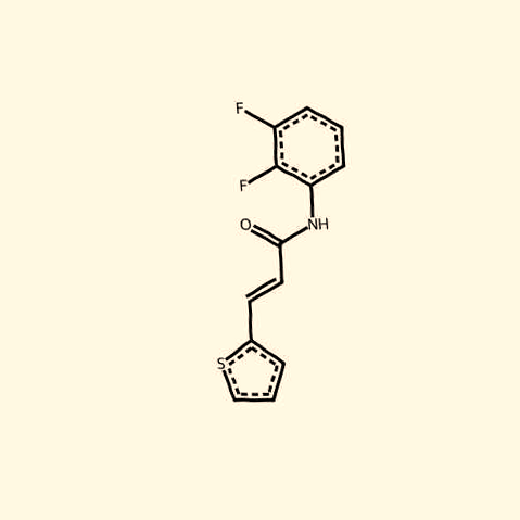 O=C(C=Cc1cccs1)Nc1cccc(F)c1F